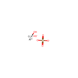 O=S(=O)([O-])[O-].O=[N+]([O-])O.[Al+3].[OH-]